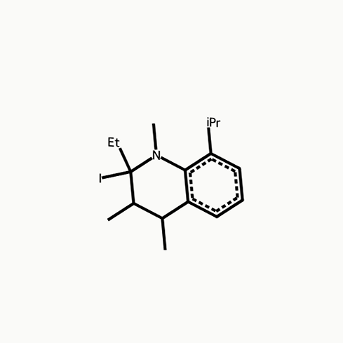 CCC1(I)C(C)C(C)c2cccc(C(C)C)c2N1C